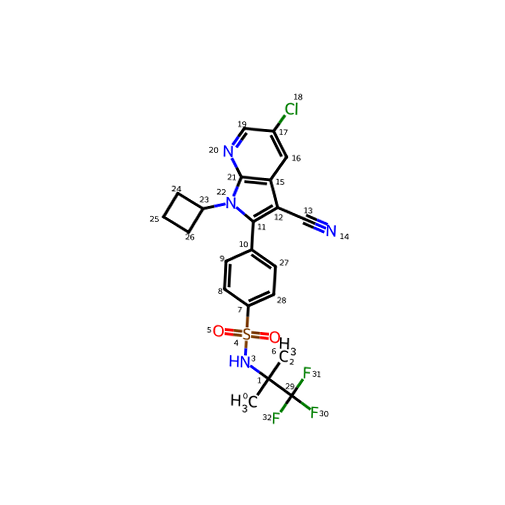 CC(C)(NS(=O)(=O)c1ccc(-c2c(C#N)c3cc(Cl)cnc3n2C2CCC2)cc1)C(F)(F)F